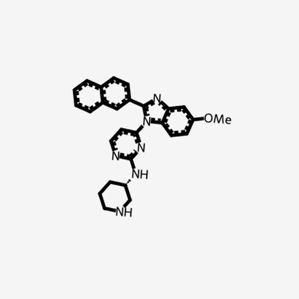 COc1ccc2c(c1)nc(-c1ccc3ccccc3c1)n2-c1ccnc(N[C@H]2CCCNC2)n1